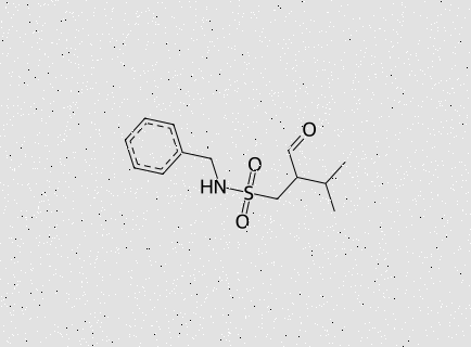 CC(C)C(C=O)CS(=O)(=O)NCc1ccccc1